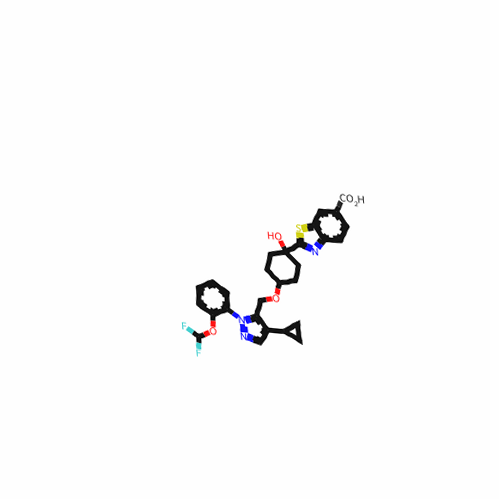 O=C(O)c1ccc2nc(C3(O)CCC(OCc4c(C5CC5)cnn4-c4ccccc4OC(F)F)CC3)sc2c1